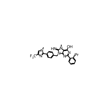 CC(C)c1ccccc1-c1nc(O)c2c(n1)n(Cc1ccc(-c3nc(C(F)(F)F)cn3C)cc1)c(=N)n2C